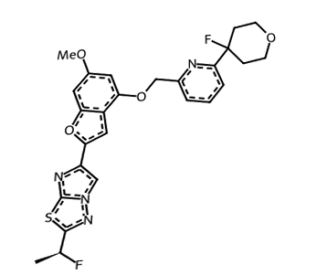 COc1cc(OCc2cccc(C3(F)CCOCC3)n2)c2cc(-c3cn4nc([C@H](C)F)sc4n3)oc2c1